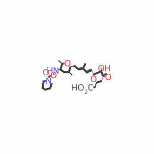 CC(/C=C/[C@H]1O[C@H](CC(=O)O)C[C@@]2(CO2)[C@@H]1O)=C\C[C@@H]1O[C@H](C)[C@H](NOC(=O)N2CCCCC2)C[C@@H]1C